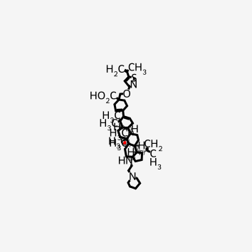 C=C(C)c1cc(OCC2(C(=O)O)CC=C(C3=CC[C@]4(C)[C@H]5CC[C@@H]6[C@H]7[C@H](C(=C)C)CC[C@]7(NCCN7CCCCC7)CC[C@@]6(C)[C@]5(C)CC[C@H]4C3(C)C)CC2)ns1